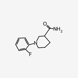 NC(=O)C1CCCN(c2ccccc2F)C1